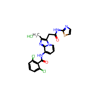 Cc1nc2c(NC(=O)c3c(Cl)cccc3Cl)cccn2c1CC(=O)Nc1nccs1.Cl